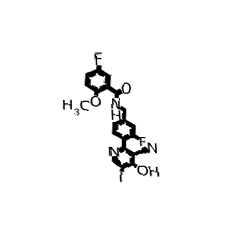 COc1ccc(F)cc1C(=O)NCc1ccc(-c2ncc(I)c(O)c2C#N)c(F)c1